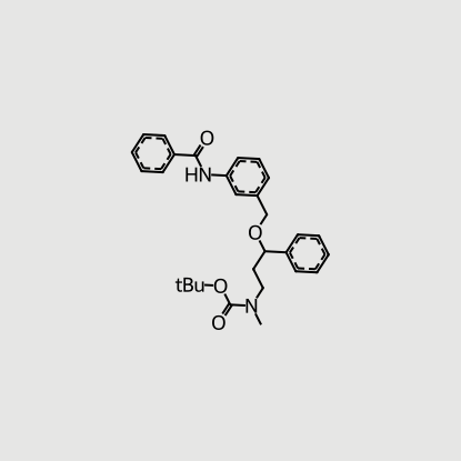 CN(CCC(OCc1cccc(NC(=O)c2ccccc2)c1)c1ccccc1)C(=O)OC(C)(C)C